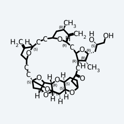 C=C1CC2CC[C@@]34C[C@H]5O[C@H]6[C@@H](O3)[C@H]3OC(CC[C@@H]3O[C@H]6C5O4)CC(=O)C[C@H]3C(C[C@H]4OC(CC[C@@H]1O2)C[C@@H](C)C4=C)O[C@H](C[C@H](O)CO)[C@@H]3C